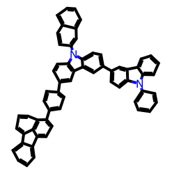 c1ccc(-n2c3ccccc3c3cc(-c4ccc5c(c4)c4cc(-c6ccc(-c7ccc8c9c(cccc79)-c7ccccc7-8)cc6)ccc4n5-c4ccc5ccccc5c4)ccc32)cc1